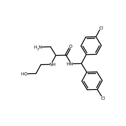 NCC(NCCO)C(=O)NC(c1ccc(Cl)cc1)c1ccc(Cl)cc1